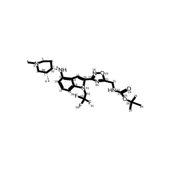 C[C@@H]1CN(C)CC[C@@H]1Nc1cccc2c1cc(-c1noc(CNC(=O)OC(C)(C)C)n1)n2CC(F)(F)F